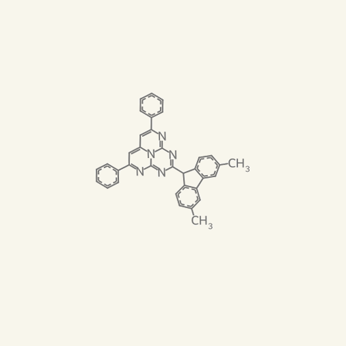 Cc1ccc2c(c1)-c1cc(C)ccc1C2C1=NC2=NC(c3ccccc3)=CC3=CC(c4ccccc4)=NC(=N1)N32